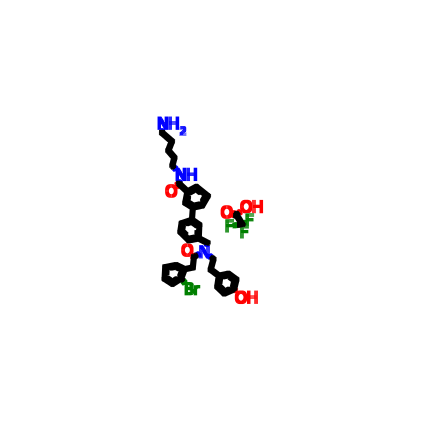 NCCCCCNC(=O)c1cccc(-c2cccc(CN(CCc3ccc(O)cc3)C(=O)Cc3ccccc3Br)c2)c1.O=C(O)C(F)(F)F